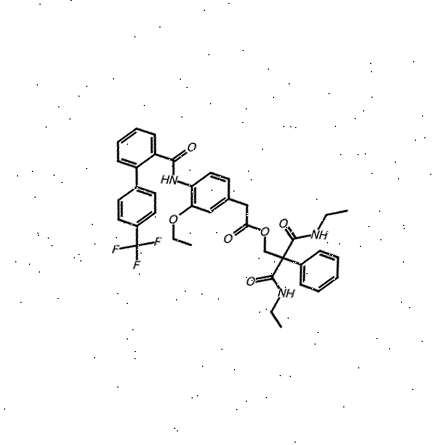 CCNC(=O)C(COC(=O)Cc1ccc(NC(=O)c2ccccc2-c2ccc(C(F)(F)F)cc2)c(OCC)c1)(C(=O)NCC)c1ccccc1